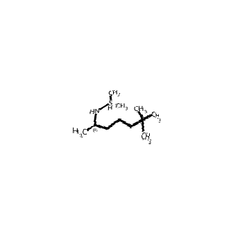 C[C@H](CCCC(C)(C)C)N[SH](C)C